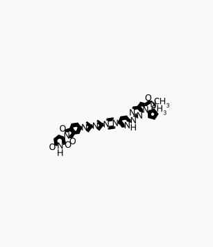 CN(C)C(=O)c1cc2cnc(Nc3ccc(N4CCN(C5CN(C6CN(c7ccc8c(c7)C(=O)N(C7CCC(=O)NC7=O)C8=O)C6)C5)CC4)cn3)nc2n1C1CCCC1